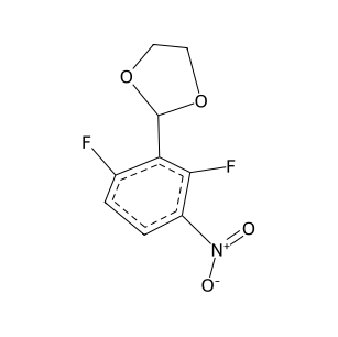 O=[N+]([O-])c1ccc(F)c(C2OCCO2)c1F